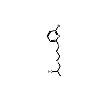 CC(O)COCCOc1cccc(Br)n1